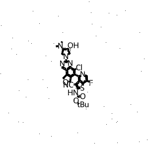 CN(C)[C@@H]1CN(c2ncc3c4c(c(-c5ncc(F)c6sc(NC(=O)OC(C)(C)C)c(C#N)c56)c(Cl)c3n2)COC4)C[C@@H]1O